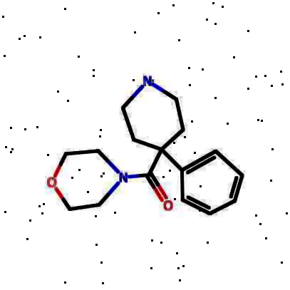 O=C(N1CCOCC1)C1(c2ccccc2)CC[N]CC1